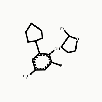 CCC1CCCO1.CCc1cc(C)cc(C2CCCCC2)c1O